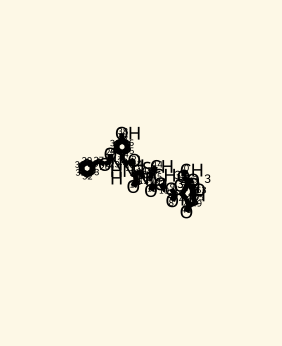 COC(=O)[C@@]1(C)[C@H](C(=O)OCOC(=O)[C@@H]2N3C(=O)[C@@H](NC(=O)C(NC(=O)OCc4ccccc4)c4ccc(O)cc4)[C@H]3SC2(C)C)N2C(=O)C[C@H]2S1(=O)=O